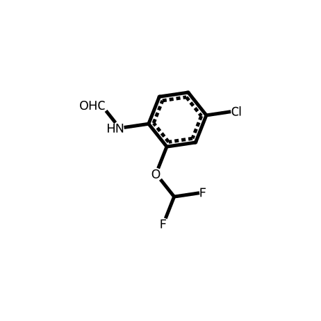 O=CNc1ccc(Cl)cc1OC(F)F